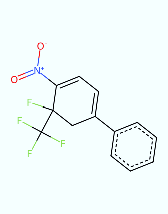 O=[N+]([O-])C1=CC=C(c2ccccc2)CC1(F)C(F)(F)F